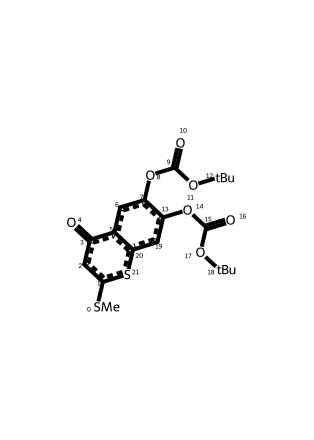 CSc1cc(=O)c2cc(OC(=O)OC(C)(C)C)c(OC(=O)OC(C)(C)C)cc2s1